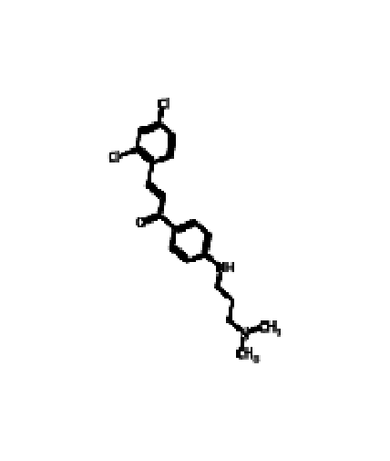 CN(C)CCCNc1ccc(C(=O)C=Cc2ccc(Cl)cc2Cl)cc1